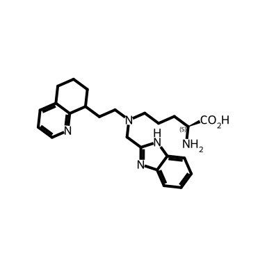 N[C@@H](CCCN(CCC1CCCc2cccnc21)Cc1nc2ccccc2[nH]1)C(=O)O